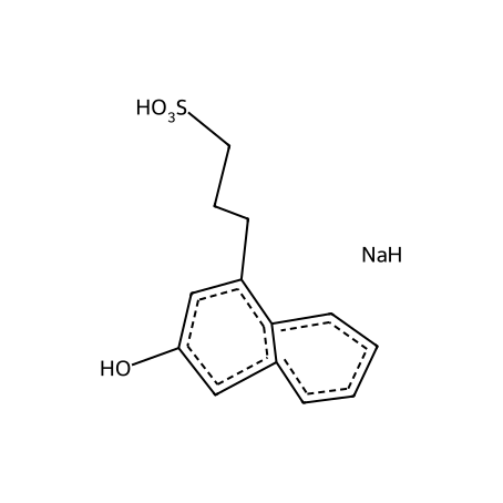 O=S(=O)(O)CCCc1cc(O)cc2ccccc12.[NaH]